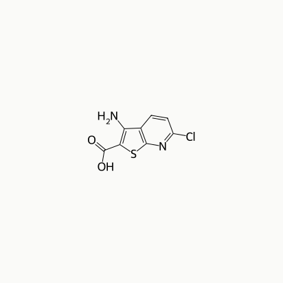 Nc1c(C(=O)O)sc2nc(Cl)ccc12